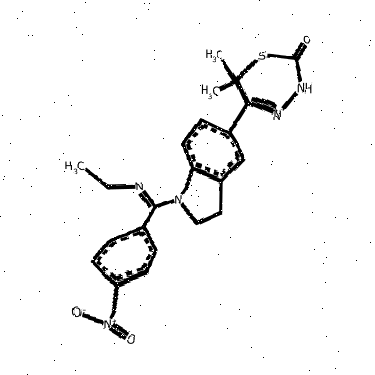 CCN=C(c1ccc([N+](=O)[O-])cc1)N1CCc2cc(C3=NNC(=O)SC3(C)C)ccc21